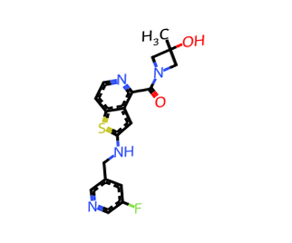 CC1(O)CN(C(=O)c2nccc3sc(NCc4cncc(F)c4)cc23)C1